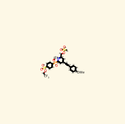 CCOP(=O)(c1ccc(S(=O)(=O)OCC(F)(F)F)cc1)c1cc(C#Cc2ccc(OC)cc2)cc(COS(C)(=O)=O)n1